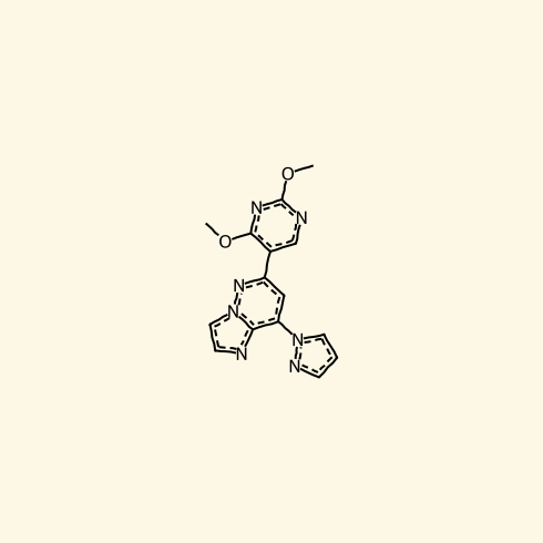 COc1ncc(-c2cc(-n3cccn3)c3nccn3n2)c(OC)n1